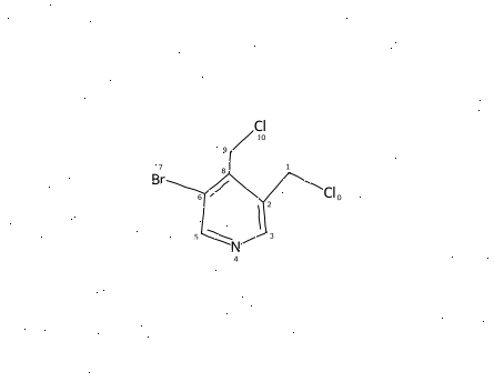 ClCc1cncc(Br)c1CCl